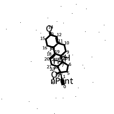 C#C[C@]1(OCCCCC)CC[C@H]2[C@@H]3CCC4=CC(=O)CC[C@]4(C)C3=CC[C@@]21C